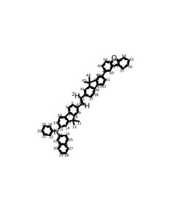 [2H]/C(=C(/[2H])c1ccc2c(c1)C(C)(C)c1cc(N(c3ccccc3)c3ccc4ccccc4c3)ccc1-2)c1ccc2c(c1)C(C)(C)c1cc(-c3ccc4oc5ccccc5c4c3)ccc1-2